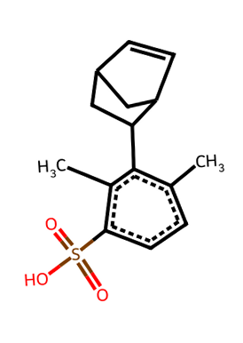 Cc1ccc(S(=O)(=O)O)c(C)c1C1CC2C=CC1C2